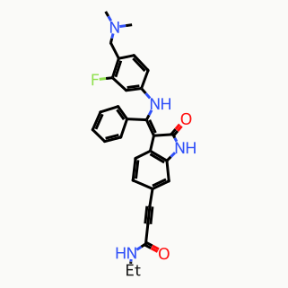 CCNC(=O)C#Cc1ccc2c(c1)NC(=O)/C2=C(\Nc1ccc(CN(C)C)c(F)c1)c1ccccc1